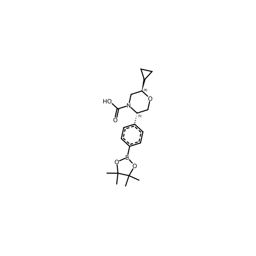 CC1(C)OB(c2ccc([C@H]3CO[C@H](C4CC4)CN3C(=O)O)cc2)OC1(C)C